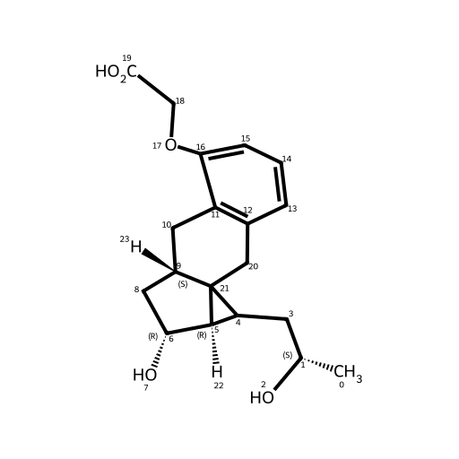 C[C@H](O)CC1[C@H]2[C@H](O)C[C@@H]3Cc4c(cccc4OCC(=O)O)CC132